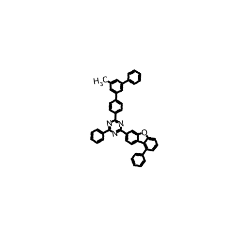 Cc1cc(-c2ccccc2)cc(-c2ccc(-c3nc(-c4ccccc4)nc(-c4ccc5c(c4)oc4cccc(-c6ccccc6)c45)n3)cc2)c1